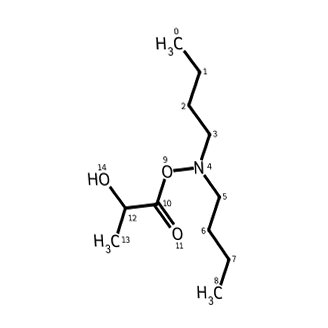 CCCCN(CCCC)OC(=O)C(C)O